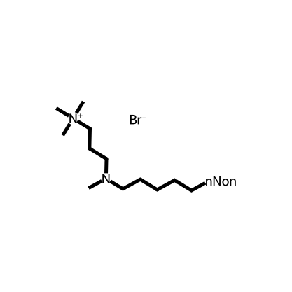 CCCCCCCCCCCCCCN(C)CCC[N+](C)(C)C.[Br-]